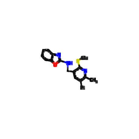 CCc1cc(CNc2nc3ccccc3o2)c(SC(C)(C)C)nc1C